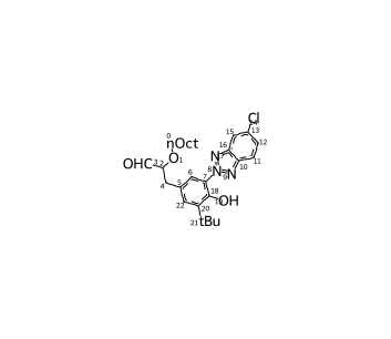 CCCCCCCCOC(C=O)Cc1cc(-n2nc3ccc(Cl)cc3n2)c(O)c(C(C)(C)C)c1